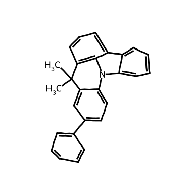 CC1(C)c2cc(-c3ccccc3)ccc2-n2c3ccccc3c3cccc1c32